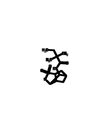 CCC(C)(C)C(=O)NC1C2CC3C1OS(=O)(=O)C3C2